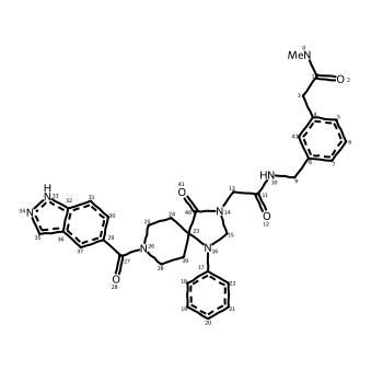 CNC(=O)Cc1cccc(CNC(=O)CN2CN(c3ccccc3)C3(CCN(C(=O)c4ccc5[nH]ncc5c4)CC3)C2=O)c1